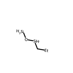 CCC[SiH]O[SiH3]